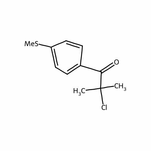 CSc1ccc(C(=O)C(C)(C)Cl)cc1